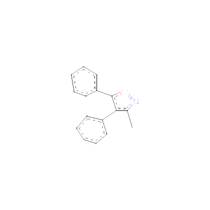 Cc1noc(-c2ccccc2)c1-c1ccccc1